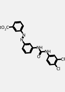 CCOC(=O)c1cccc(N=Nc2cccc(NC(=O)Nc3ccc(Cl)c(C(F)(F)F)c3)c2)c1